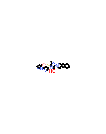 Cc1nc(N2CCC3(CC2)Cc2ccccc2C3)c(CO)nc1Sc1ccnc2c1OCC1(CCC1)N2